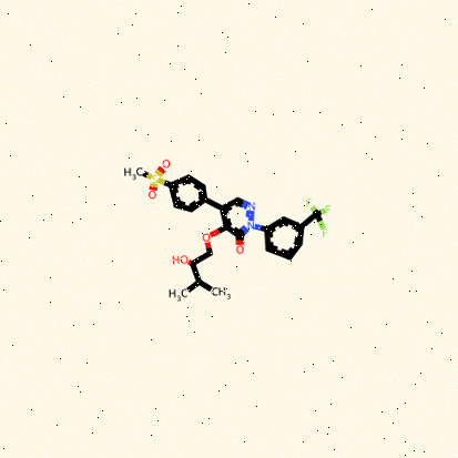 CC(C)C(O)COc1c(-c2ccc(S(C)(=O)=O)cc2)cnn(-c2cccc(C(F)(F)F)c2)c1=O